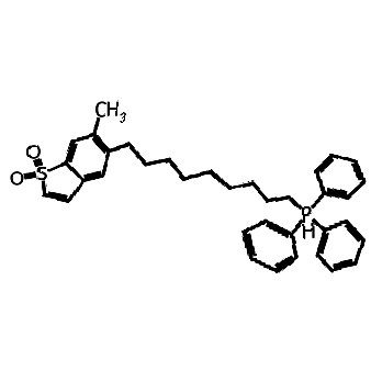 Cc1cc2c(cc1CCCCCCCCC[PH](c1ccccc1)(c1ccccc1)c1ccccc1)C=CS2(=O)=O